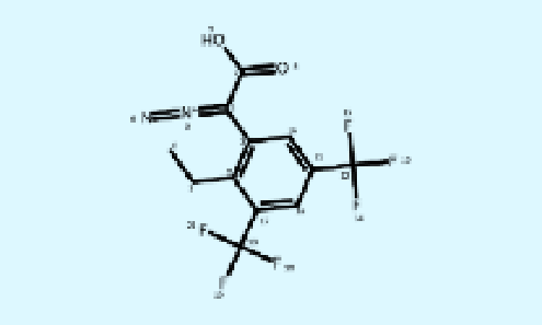 CCc1c(C(=[N+]=[N-])C(=O)O)cc(C(F)(F)F)cc1C(F)(F)F